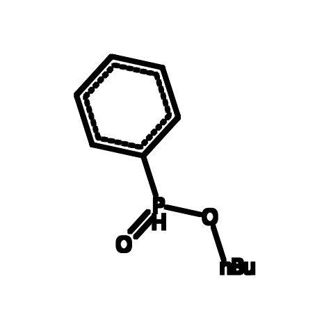 CCCCO[PH](=O)c1ccccc1